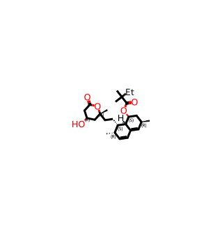 CCC(C)(C)C(=O)O[C@H]1C[C@@H](C)C=C2C=C[C@H](C)[C@H](CC[C@]3(C)C[C@@H](O)CC(=O)O3)[C@H]21